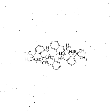 CC(C)(C)c1cccc(Pc2ccc3ccccc3c2-c2c(Pc3cccc(C(C)(C)C)c3C(C)(C)C)ccc3ccccc23)c1C(C)(C)C